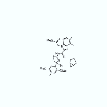 C1CC2CC2C1.CCC1(c2cc(OC)c(C)cc2OC)CSC(NC(=O)c2cc3c(C)c(C)ccc3n2CC(=O)OC)=N1